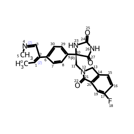 C/C=C(\C=N/C)c1ccc([C@]2(CN3Cc4ccc(F)cc4C3=O)NC(=O)NC2=O)cc1